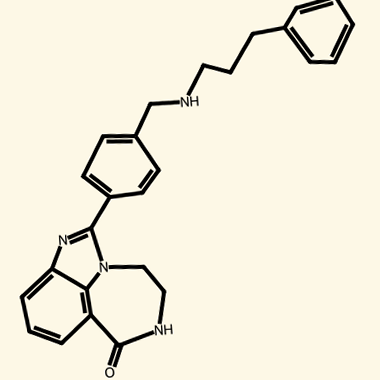 O=C1NCCn2c(-c3ccc(CNCCCc4ccccc4)cc3)nc3cccc1c32